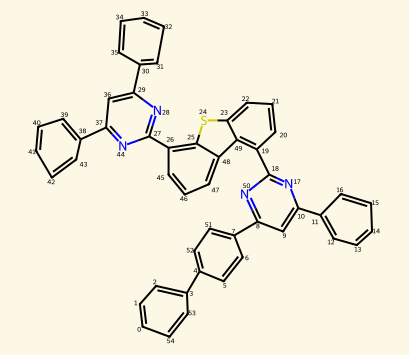 c1ccc(-c2ccc(-c3cc(-c4ccccc4)nc(-c4cccc5sc6c(-c7nc(-c8ccccc8)cc(-c8ccccc8)n7)cccc6c45)n3)cc2)cc1